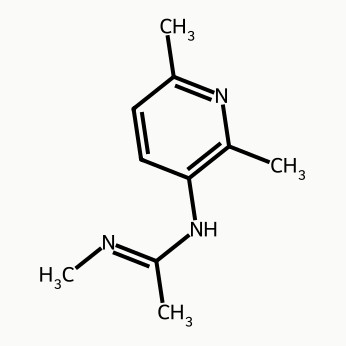 CN=C(C)Nc1ccc(C)nc1C